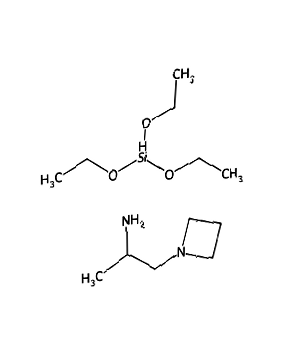 CC(N)CN1CCC1.CCO[SiH](OCC)OCC